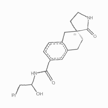 CC(C)CC(O)NC(=O)c1ccc2c(c1)CC[C@@]1(CCNC1=O)C2